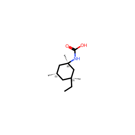 CC[C@@]1(C)C[C@H](C)C[C@@](C)(NC(=O)O)C1